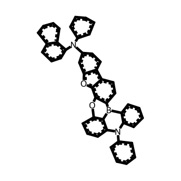 c1ccc(N2c3ccccc3B3c4ccc5c(oc6cc(N(c7ccccc7)c7cccc8ccccc78)ccc65)c4Oc4cccc2c43)cc1